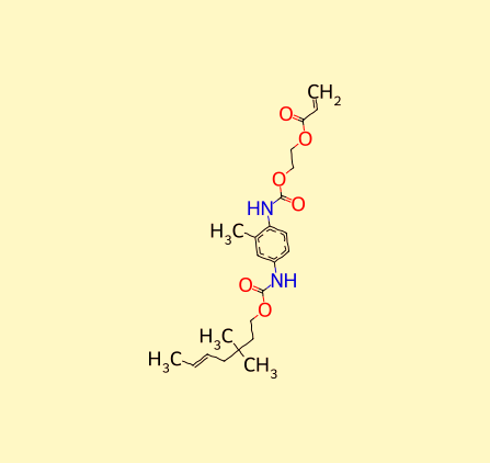 C=CC(=O)OCCOC(=O)Nc1ccc(NC(=O)OCCC(C)(C)C/C=C/C)cc1C